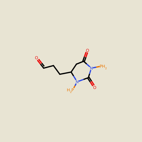 O=CCCC1CC(=O)N(P)C(=O)N1P